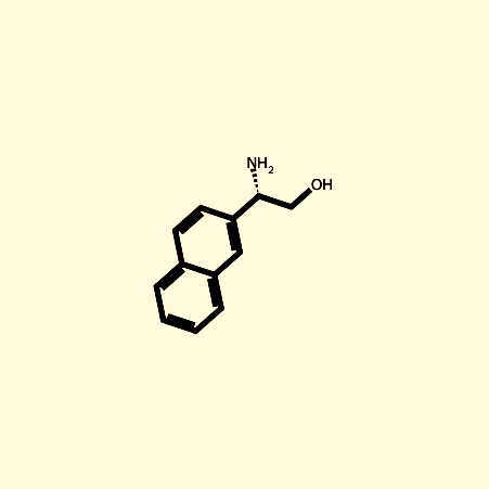 N[C@H](CO)c1ccc2ccccc2c1